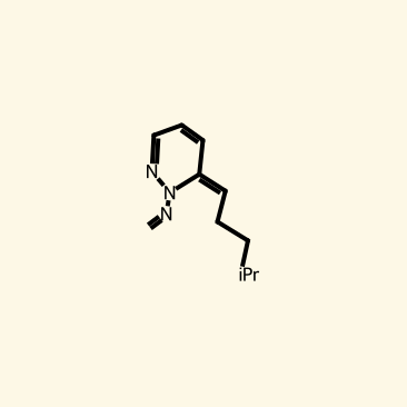 C=NN1N=CC=C/C1=C/CCC(C)C